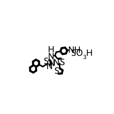 O=S(=O)(O)Nc1ccc(CC(Nc2nnc(Cc3cccc4ccccc34)s2)c2csc(-c3cccs3)n2)cc1